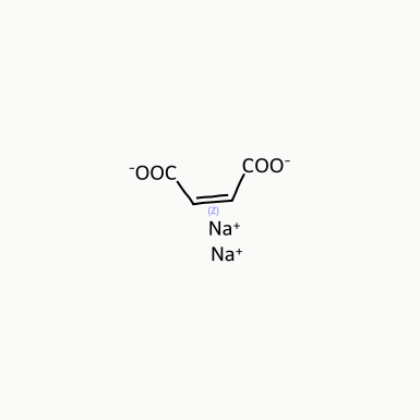 O=C([O-])/C=C\C(=O)[O-].[Na+].[Na+]